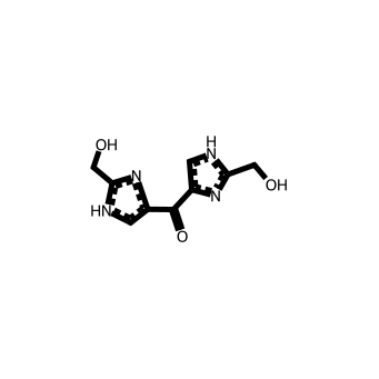 O=C(c1c[nH]c(CO)n1)c1c[nH]c(CO)n1